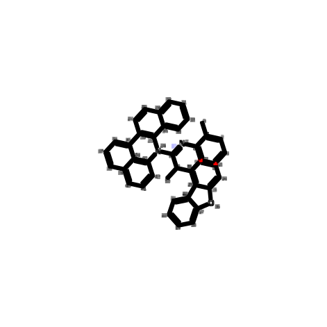 Cc1ccccc1/N=C(\C(C)c1cccc2oc3ccccc3c12)N1c2c(ccc3ccccc23)-c2cccc3cccc1c23